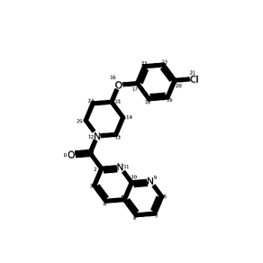 O=C(c1ccc2cccnc2n1)N1CCC(Oc2ccc(Cl)cc2)CC1